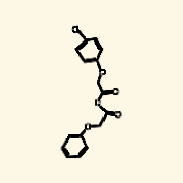 O=C(COc1ccccc1)OC(=O)COc1ccc(Cl)cc1